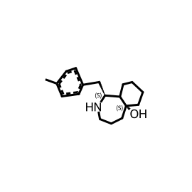 Cc1ccc(C[C@@H]2NCCC[C@@]3(O)CCCCC23)cc1